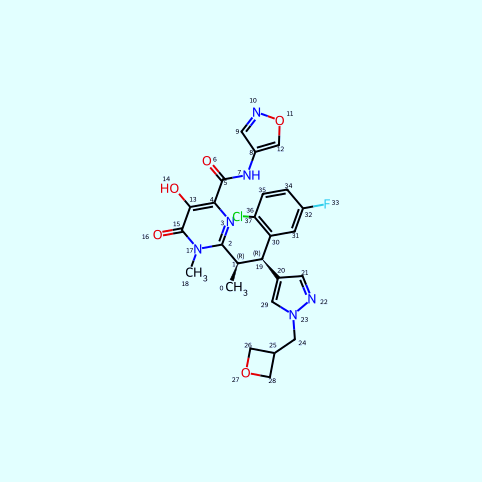 C[C@@H](c1nc(C(=O)Nc2cnoc2)c(O)c(=O)n1C)[C@H](c1cnn(CC2COC2)c1)c1cc(F)ccc1Cl